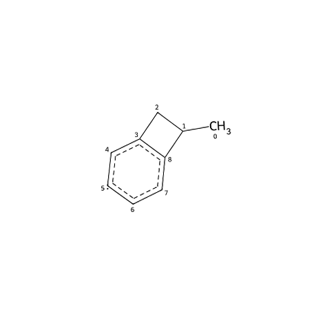 CC1Cc2c[c]ccc21